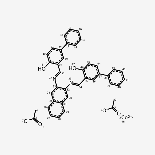 CC(=O)[O-].CC(=O)[O-].Oc1ccc(-c2ccccc2)cc1C=Nc1cc2ccccc2cc1N=Cc1cc(-c2ccccc2)ccc1O.[Co+2]